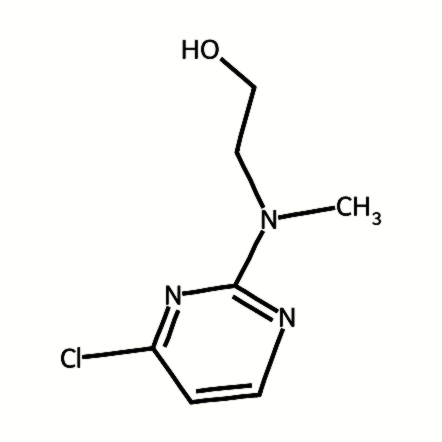 CN(CCO)c1nccc(Cl)n1